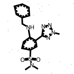 CN(C)S(=O)(=O)c1ccc(NCc2ccccc2)c(-c2nnn(C)n2)c1